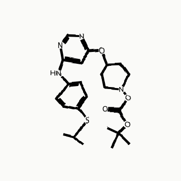 CC(C)Sc1ccc(Nc2cc(OC3CCN(OC(=O)OC(C)(C)C)CC3)ncn2)cc1